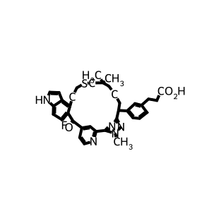 Cn1nc2nc1-c1cc(ccn1)C(=O)c1c(F)cc3[nH]ccc3c1CCSCC(C)(C)CCCC2c1cccc(CCC(=O)O)c1